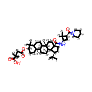 C=C(C)[C@@H]1CC[C@@]2(C(=O)N[C@@H]3C[C@H](C(=O)N4CCCCC4)C3(C)C)CC[C@]3(C)C(CCC4[C@@]5(C)CC[C@H](OC(=O)CC(C)(C)C(=O)O)C(C)(C)C5CC[C@]43C)C12